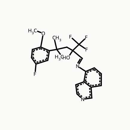 COc1ccc(F)cc1C(C)(C)CC(O)(C=Nc1cccc2cnccc12)C(F)(F)F